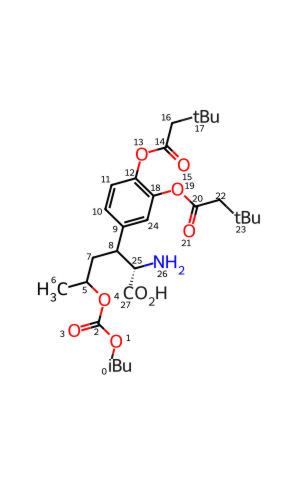 CCC(C)OC(=O)OC(C)CC(c1ccc(OC(=O)CC(C)(C)C)c(OC(=O)CC(C)(C)C)c1)[C@H](N)C(=O)O